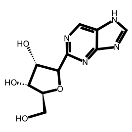 OC[C@@H]1OC(c2ncc3[nH]cnc3n2)[C@@H](O)[C@H]1O